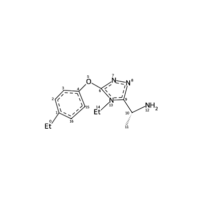 CCc1ccc(Oc2nnc([C@@H](C)N)n2CC)cc1